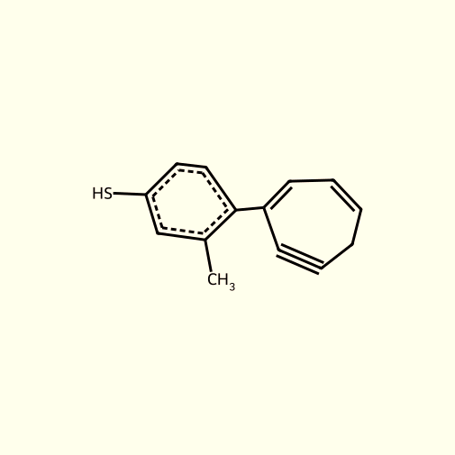 Cc1cc(S)ccc1C1=CC=CCC#C1